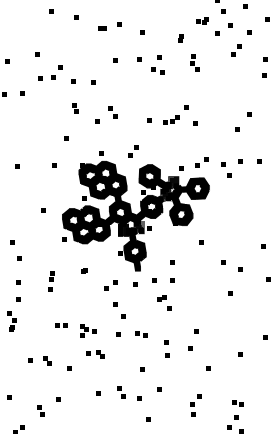 Cc1ccc(-c2nc(-c3ccc(-n4c(-c5ccccc5)nc(-c5ccccc5)c4-c4ccccc4)cc3)c3cc(-c4ccc5ccc6cccc7ccc4c5c67)cc(-c4ccc5ccc6cccc7ccc4c5c67)c3n2)cc1